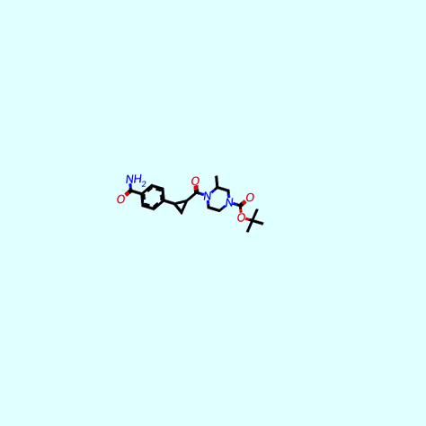 CC1CN(C(=O)OC(C)(C)C)CCN1C(=O)C1CC1c1ccc(C(N)=O)cc1